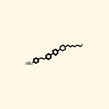 CCCCc1ccc(CCc2ccc(-c3ccc(C4CCC(CCCCCCF)CC4)cc3)cc2)cc1